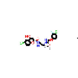 C=C(CCNC(=O)[C@H]1C[C@H](O)c2cc(Cl)ccc2O1)NC(=O)COc1ccc(Cl)c(F)c1